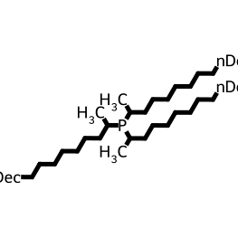 CCCCCCCCCCCCCCCCCC(C)P(C(C)CCCCCCCCCCCCCCCCC)C(C)CCCCCCCCCCCCCCCCC